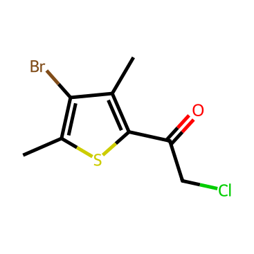 Cc1sc(C(=O)CCl)c(C)c1Br